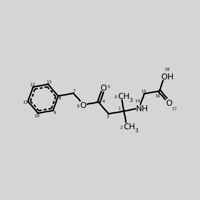 CC(C)(CC(=O)OCc1ccccc1)NCC(=O)O